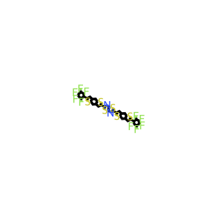 Fc1c(F)c(F)c(-c2cc3cc4sc(-c5nc6sc(-c7cc8cc9sc(-c%10c(F)c(F)c(F)c(F)c%10F)cc9cc8s7)nc6s5)cc4cc3s2)c(F)c1F